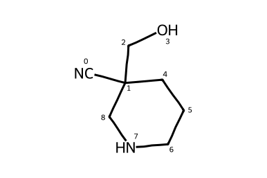 N#CC1(CO)CCCNC1